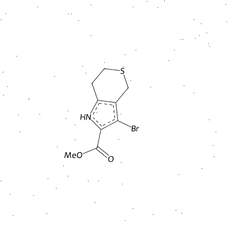 COC(=O)c1[nH]c2c(c1Br)CSCC2